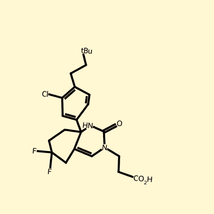 CC(C)(C)CCc1ccc(C23CCC(F)(F)CC2=CN(CCC(=O)O)C(=O)N3)cc1Cl